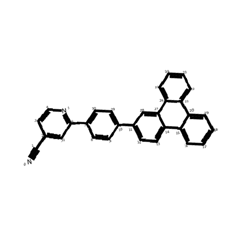 N#Cc1ccnc(-c2ccc(-c3ccc4c5ccccc5c5ccccc5c4c3)cc2)c1